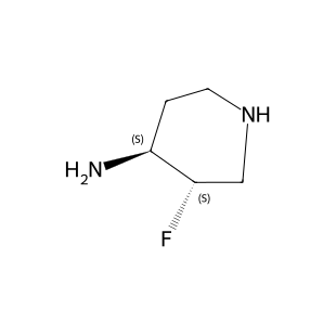 N[C@H]1CCNC[C@@H]1F